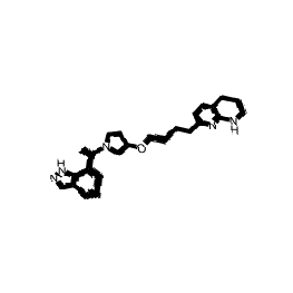 CC(c1cccc2cn[nH]c12)N1CCC(OCCCCc2ccc3c(n2)NCCC3)C1